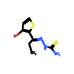 CCC(=NNC(N)=S)c1sccc1Br